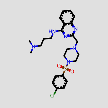 CN(C)CCCNc1nc(CN2CCN(S(=O)(=O)c3ccc(Cl)cc3)CC2)nc2ccccc12